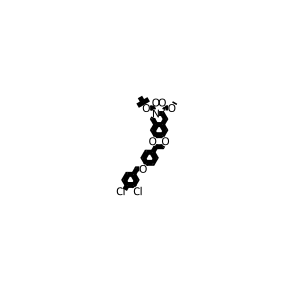 COC(=O)[C@@H]1Cc2cc3c(cc2CN1C(=O)OC(C)(C)C)OC(c1ccc(OCc2ccc(Cl)c(Cl)c2)cc1)CO3